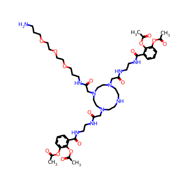 CC(=O)Oc1cccc(C(=O)NCCNC(=O)CN2CCNCCN(CC(=O)NCCNC(=O)c3cccc(OC(C)=O)c3OC(C)=O)CCN(CC(=O)NCCCOCCOCCOCCCN)CC2)c1OC(C)=O